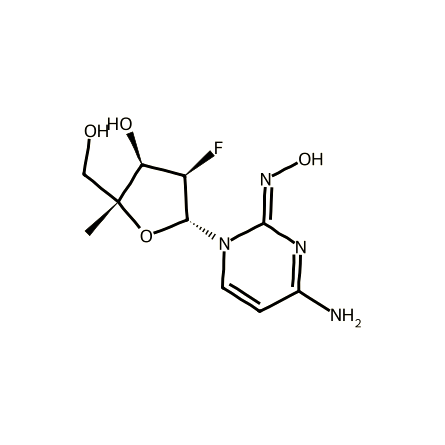 C[C@]1(CO)O[C@@H](n2ccc(N)n/c2=N\O)[C@H](F)[C@@H]1O